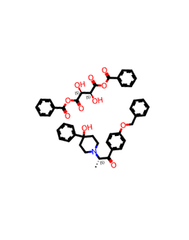 C[C@@H](C(=O)c1ccc(OCc2ccccc2)cc1)N1CCC(O)(c2ccccc2)CC1.O=C(OC(=O)[C@@H](O)[C@H](O)C(=O)OC(=O)c1ccccc1)c1ccccc1